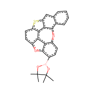 CC1(C)OB(c2ccc3oc4c5ccccc5cc5sc6ccc7oc2c3c7c6c54)OC1(C)C